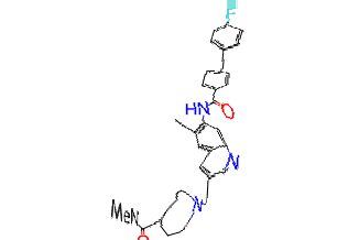 CNC(=O)C1CCN(Cc2cnc3cc(NC(=O)c4ccc(-c5ccc(F)cc5)cc4)c(C)cc3c2)CC1